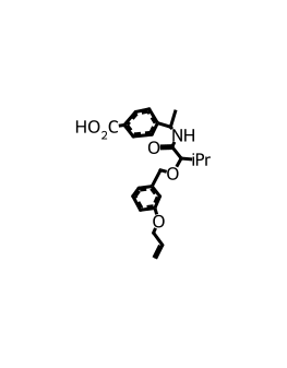 C=CCOc1cccc(COC(C(=O)NC(C)c2ccc(C(=O)O)cc2)C(C)C)c1